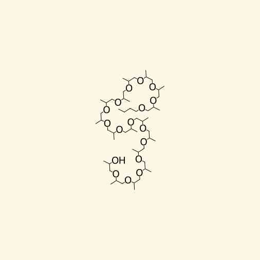 CCCCOCC(C)OCC(C)OCC(C)OCC(C)OCC(C)OCC(C)OCC(C)OCC(C)OCC(C)OCC(C)OCC(C)OCC(C)OCC(C)OCC(C)OCC(C)OCC(C)O